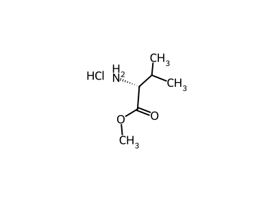 COC(=O)[C@H](N)C(C)C.Cl